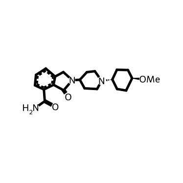 CO[C@H]1CC[C@H](N2CCC(N3Cc4cccc(C(N)=O)c4C3=O)CC2)CC1